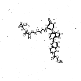 CC(C)(C)OC(=O)N1CCc2cc(-c3nnc(-c4ccc(F)cc4OCCOCCNC(=O)OCC4(C(F)(F)F)CC4)c4sccc34)ccc2C1